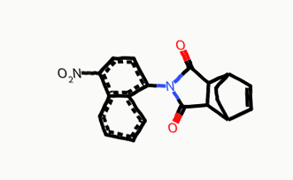 O=C1C2C3C=CC(CC3)C2C(=O)N1c1ccc([N+](=O)[O-])c2ccccc12